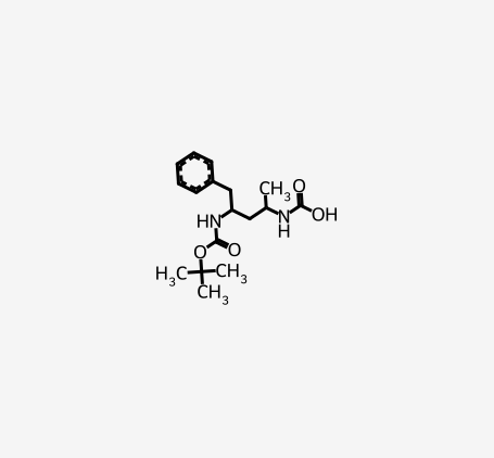 CC(CC(Cc1ccccc1)NC(=O)OC(C)(C)C)NC(=O)O